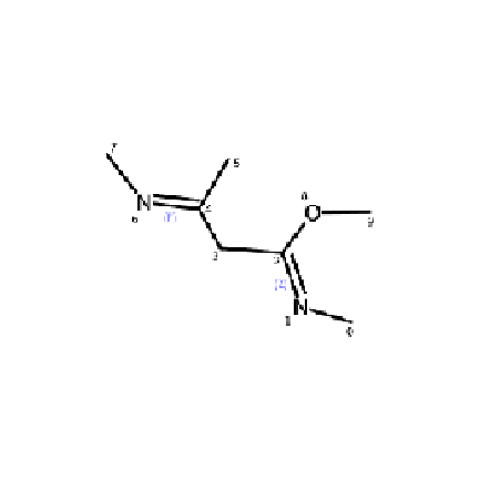 C/N=C(/C/C(C)=N/C)OC